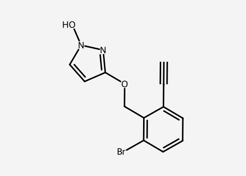 C#Cc1cccc(Br)c1COc1ccn(O)n1